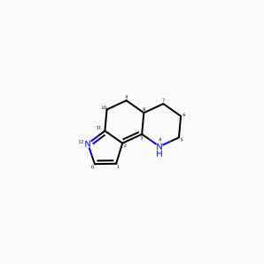 C1=CC2=C3NCCCC3CCC2=N1